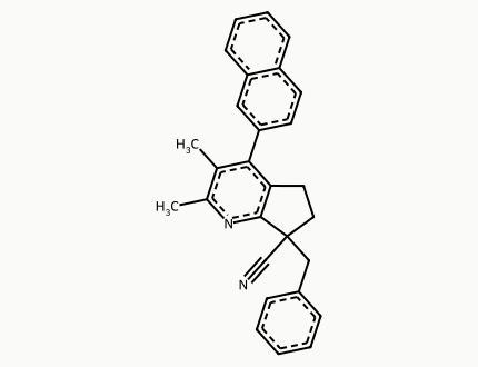 Cc1nc2c(c(-c3ccc4ccccc4c3)c1C)CCC2(C#N)Cc1ccccc1